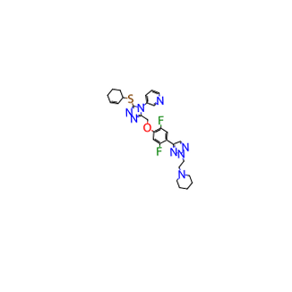 Fc1cc(-c2cnn(CCN3CCCCC3)n2)c(F)cc1OCc1nnc(SC2C=CCCC2)n1-c1cccnc1